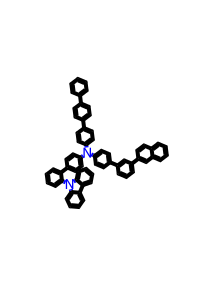 c1ccc(-c2ccc(-c3ccc(N(c4ccc(-c5cccc(-c6ccc7ccccc7c6)c5)cc4)c4ccc(-c5ccccc5-n5c6ccccc6c6ccccc65)cc4)cc3)cc2)cc1